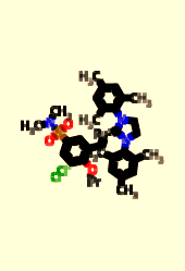 Cc1cc(C)c(N2CCN(c3c(C)cc(C)cc3C)[C]2=[Ru+2]=[CH]c2cc(S(=O)(=O)N(C)C)ccc2OC(C)C)c(C)c1.[Cl-].[Cl-]